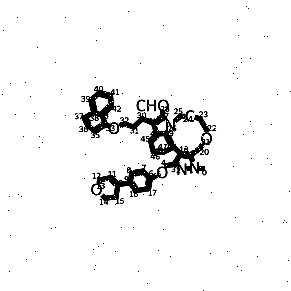 Cn1nc(COc2ccc(C3=CCOCC3)cc2)c2c1COCCCCn1c(C=O)c(CCCOc3cccc4ccccc34)c3cccc-2c31